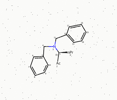 CCC[C@@H](C(C)=O)N(Cc1ccccc1)Cc1ccccc1